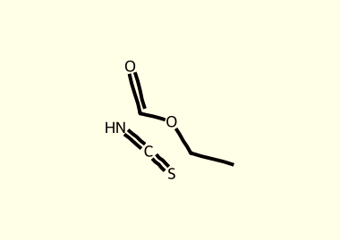 CCOC=O.N=C=S